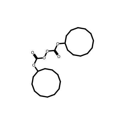 O=C(OOC(=O)OC1CCCCCCCCCCC1)OC1CCCCCCCCCCC1